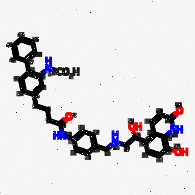 O=C(O)Nc1cc(CCCC(=O)Nc2ccc(CNC[C@@H](O)c3ccc(O)c4[nH]c(=O)ccc34)cc2)ccc1-c1ccccc1